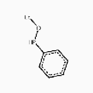 CCOPc1ccccc1